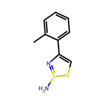 Cc1ccccc1C1=CSS(N)=N1